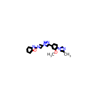 COc1cc(-c2cn(C3CN(c4nc5ccccc5o4)C3)nn2)ccc1-n1cnc(C)c1